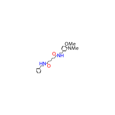 CNc1cc(CCNC(=O)CCCCC(=O)NCCc2ccccc2)ccc1OC